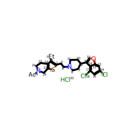 CCc1c(CCN2CCC(c3coc4cc(Cl)cc(Cl)c34)CC2)sc2c1CCN(C(C)=O)C2.Cl